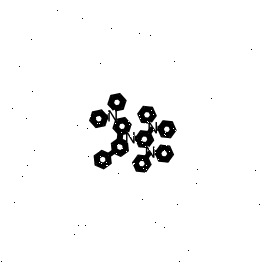 c1ccc(-c2ccc3c(c2)c2cc(N(c4ccccc4)c4ccccc4)ccc2n3-c2cc(N(c3ccccc3)c3ccccc3)cc(N(c3ccccc3)c3ccccc3)c2)cc1